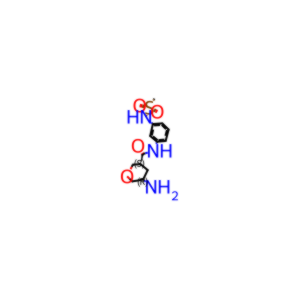 CS(=O)(=O)Nc1cccc(NC(=O)[C@@H]2COC[C@H](N)C2)c1